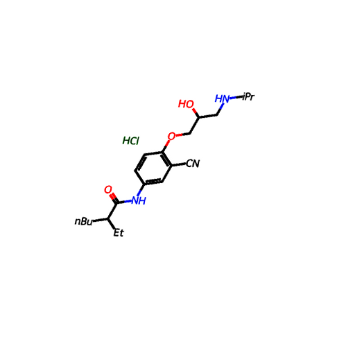 CCCCC(CC)C(=O)Nc1ccc(OCC(O)CNC(C)C)c(C#N)c1.Cl